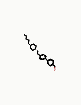 CCCCC[C@H]1CC[C@H](CCc2ccc(-c3ccc(CBr)cc3)cc2)CC1